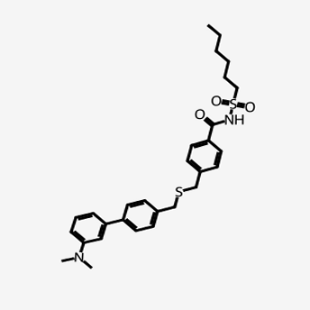 CCCCCCS(=O)(=O)NC(=O)c1ccc(CSCc2ccc(-c3cccc(N(C)C)c3)cc2)cc1